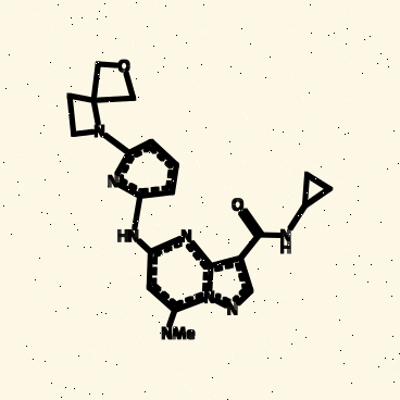 CNc1cc(Nc2cccc(N3CCC34COC4)n2)nc2c(C(=O)NC3CC3)cnn12